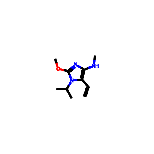 C=Cc1c(NC)nc(OC)n1C(C)C